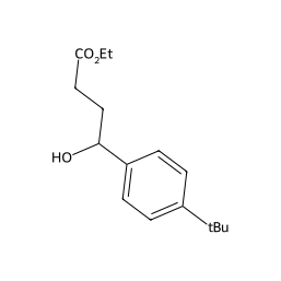 CCOC(=O)CCC(O)c1ccc(C(C)(C)C)cc1